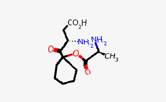 C[C@H](N)C(=O)OC1(C(=O)[C@@H](N)CC(=O)O)CCCCC1